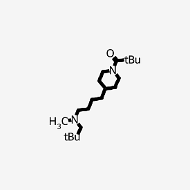 CN(CCCCC1CCN(C(=O)C(C)(C)C)CC1)CC(C)(C)C